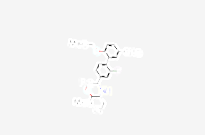 COCOc1ccc(C=O)cc1-c1ccc(C(N[C@@H](CC(C)C)C(=O)OC)C(F)(F)F)cc1F